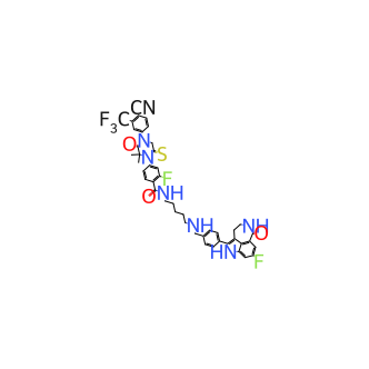 CC1(C)C(=O)N(c2ccc(C#N)c(C(F)(F)F)c2)CC(=S)N1c1ccc(C(=O)NCCCCCNCc2ccc(-c3[nH]c4cc(F)cc5c4c3CCNC5=O)cc2)c(F)c1